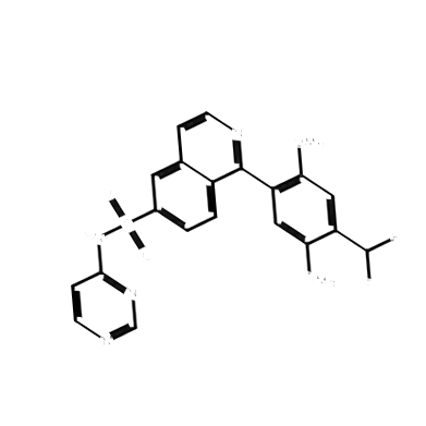 COc1cc(C(F)F)c(OC)cc1-c1nccc2cc(S(=O)(=O)Nc3ccncn3)ccc12